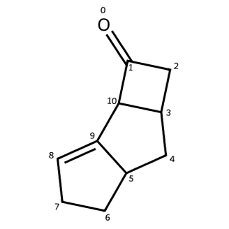 O=C1CC2CC3CCC=C3C12